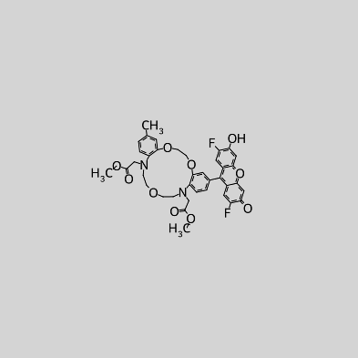 COC(=O)CN1CCOCCN(CC(=O)OC)c2ccc(-c3c4cc(F)c(=O)cc-4oc4cc(O)c(F)cc34)cc2OCCOc2cc(C)ccc21